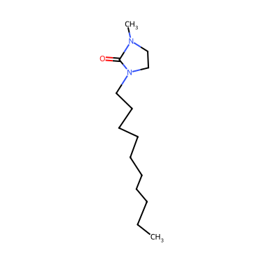 CCCCCCCCCCN1CCN(C)C1=O